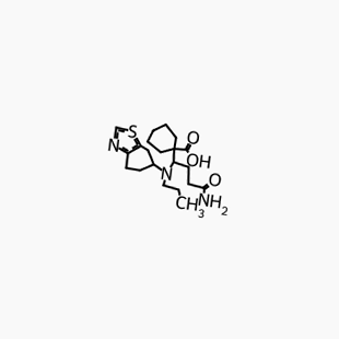 CCCN(C1CCc2ncsc2C1)C(CCC(N)=O)C1(C(=O)O)CCCCC1